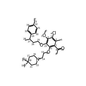 COc1c(Cl)c(C)c(C(C)=O)c(OCCN2CCC(F)(F)CC2)c1OCCC(C)c1ccc(F)cc1